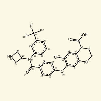 O=C(O)C1CCOc2cc(Oc3ccc(C(=O)N(c4cccc(C(F)(F)F)c4)C4CNC4)cc3)c(Cl)cc21